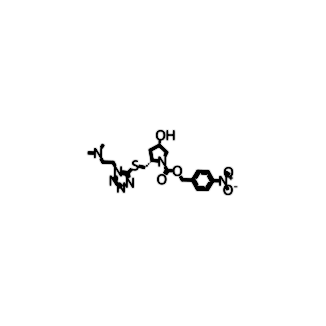 CN(C)CCn1nnnc1SC[C@@H]1C[C@@H](O)CN1C(=O)OCc1ccc([N+](=O)[O-])cc1